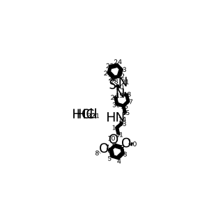 COc1cccc(OC)c1OCCCNCC1CCN(c2nc3ccccc3s2)CC1.Cl.Cl